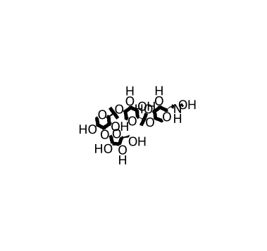 CC(C)(O[C@@H]1CO[C@@H](C(C)(C)O[C@@H]2CO[C@@H](CNO)C(O)C2O)C(O)C1O)[C@@H]1OC[C@@H](O)C(O[C@@H]2O[C@@H](CO)C(O)C2O)C1O